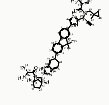 C#C[C@@H](c1nc(-c2ccc3c(c2)C(F)(F)c2cc(C4C=c5[nH]c([C@@H]6[C@H]7CC[C@H](C7)N6C(=O)[C@@H](N)C(C)C)nc5=CC4)ccc2-3)c[nH]1)N(CC1(C)CC1)C(=O)[C@@H](N)C(C)C